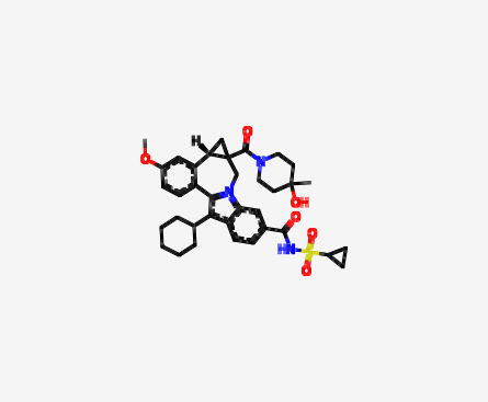 COc1ccc2c(c1)[C@@H]1CC1(C(=O)N1CCC(C)(O)CC1)Cn1c-2c(C2CCCCC2)c2ccc(C(=O)NS(=O)(=O)C3CC3)cc21